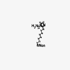 CCCCCCCCCCCCCCCCCc1nccn1CN